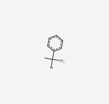 CC(Br)(c1ccccc1)C(F)(F)F